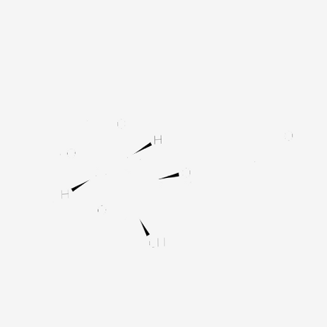 C[C@H]1O[C@@H]2OC3(CCCCC3)O[C@@H]2[C@H]1OCc1ccoc1